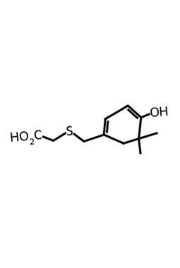 CC1(C)CC(CSCC(=O)O)=CC=C1O